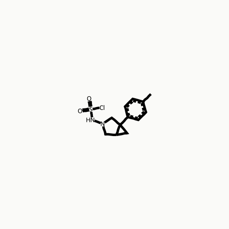 Cc1ccc(C23CC2CN(NS(=O)(=O)Cl)C3)cc1